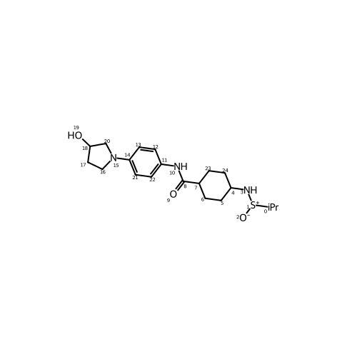 CC(C)[S+]([O-])NC1CCC(C(=O)Nc2ccc(N3CCC(O)C3)cc2)CC1